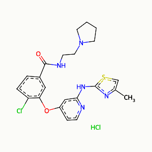 Cc1csc(Nc2cc(Oc3cc(C(=O)NCCN4CCCC4)ccc3Cl)ccn2)n1.Cl